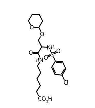 O=C(O)CCCCCNC(=O)C(COC1CCCCO1)NS(=O)(=O)c1ccc(Cl)cc1